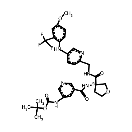 COc1ccc(Nc2ccc(CNC(=O)[C@]3(NC(=O)c4cncc(NC(=O)OC(C)(C)C)c4)CCOC3)nc2)c(C(F)(F)F)c1